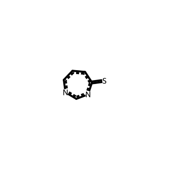 S=c1cccncn1